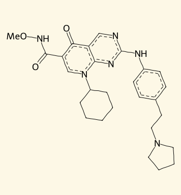 CONC(=O)c1cn(C2CCCCC2)c2nc(Nc3ccc(CCN4CCCC4)cc3)ncc2c1=O